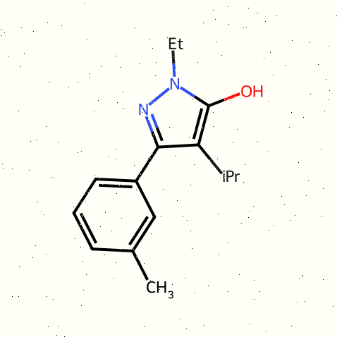 CCn1nc(-c2cccc(C)c2)c(C(C)C)c1O